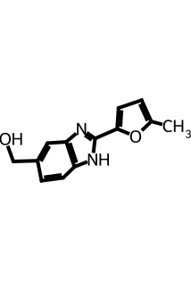 Cc1ccc(-c2nc3cc(CO)ccc3[nH]2)o1